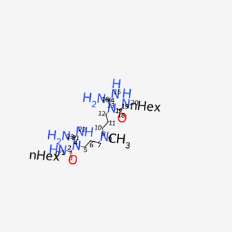 CCCCCCNC(=O)N(CCCN(C)CCCN(C(=N)N)C(=O)NCCCCCC)C(=N)N